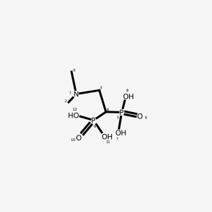 CN(C)CC(P(=O)(O)O)P(=O)(O)O